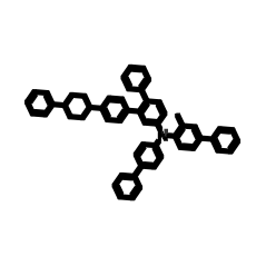 Cc1cc(-c2ccccc2)ccc1N(c1ccc(-c2ccccc2)cc1)c1ccc(-c2ccccc2)c(-c2ccc(C3CCC(c4ccccc4)CC3)cc2)c1